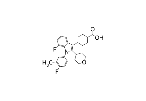 Cc1cc(-n2c(C3CCOCC3)c(C3CCC(C(=O)O)CC3)c3cccc(F)c32)ccc1F